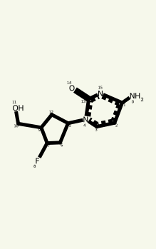 Nc1ccn(C2CC(F)C(CO)C2)c(=O)n1